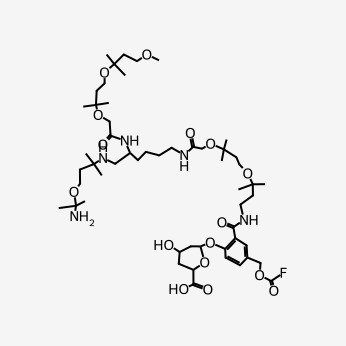 COCCC(C)(C)OCCC(C)(C)OCC(=O)NC(CCCCNC(=O)COC(C)(C)CCOC(C)(C)CCNC(=O)c1cc(COC(=O)F)ccc1OC1CC(O)CC(C(=O)O)O1)CNC(C)(C)CCOC(C)(C)N